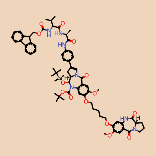 COc1cc2c(cc1OCCCCCOc1cc3c(cc1OC)C(=O)N1C=C(c4ccc(NC(=O)[C@H](C)NC(=O)[C@@H](NC(=O)OCC5c6ccccc6-c6ccccc65)C(C)C)cc4)C[C@H]1[C@H](O[Si](C)(C)C(C)(C)C)N3C(=O)OC(C)(C)C)NC(=O)[C@@H]1CCCN1C2=O